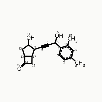 Cc1ccc(C(O)C#CC2C(O)CC3C(=O)CC32)c(C)c1